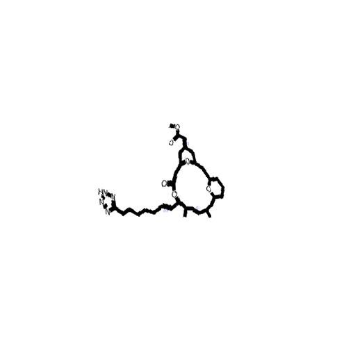 COC(=O)/C=C1\CC2CC(=O)OC(/C=C/CCCCCc3nn[nH]n3)C(C)/C=C/C(C)CC3CCCC(CC(C1)O2)O3